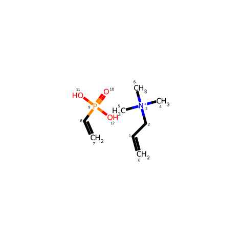 C=CC[N+](C)(C)C.C=CP(=O)(O)O